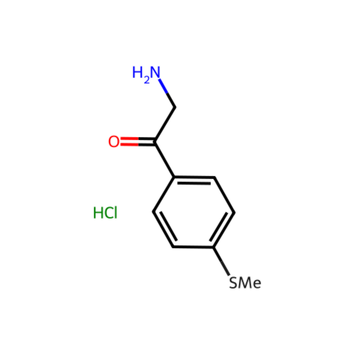 CSc1ccc(C(=O)CN)cc1.Cl